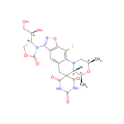 C[C@@H]1CN2c3c(cc4c(N5C(=O)OC[C@@H]5[C@H](O)CO)noc4c3F)CC3(C(=O)NC(=O)NC3=O)[C@H]2[C@H](C)O1